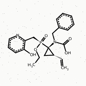 C=C[C@@H]1C[C@]1(N(Cc1ccccc1)C(=O)O)[P@](=O)(Cc1ncccc1O)OCC